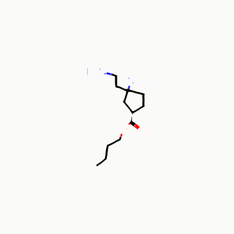 CCCCOC(=O)[C@@H]1CCC(N)(CCN)C1